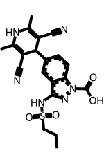 CCCS(=O)(=O)Nc1nn(C(=O)O)c2ccc(C3C(C#N)=C(C)NC(C)=C3C#N)cc12